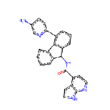 Nc1ccc(-c2cccc3c2-c2ccccc2C3NC(=O)c2ccnc3[nH]ccc23)nc1